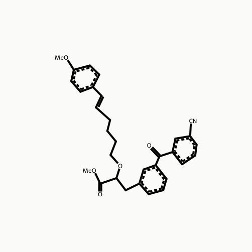 COC(=O)C(Cc1cccc(C(=O)c2cccc(C#N)c2)c1)OCCCCC=Cc1ccc(OC)cc1